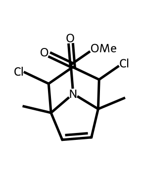 COC(=O)N1C2(C)C=CC1(C)C(Cl)C(=O)C2Cl